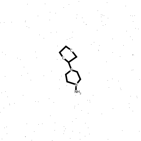 NN1CCN(C2CCCCC2)CC1